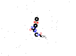 C=CC(=O)N1CCCC(n2cc(C(N)=O)c(-c3ccc(S(=O)(=O)c4ccccc4)cc3)n2)C1